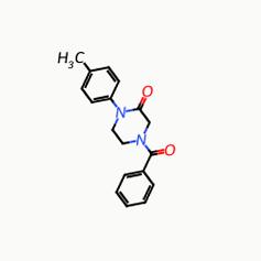 Cc1ccc(N2CCN(C(=O)c3ccccc3)CC2=O)cc1